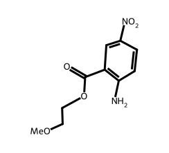 COCCOC(=O)c1cc([N+](=O)[O-])ccc1N